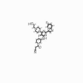 N#CCC(=O)N1CCC[C@@H](Nc2nc(-c3cnc4ccc(F)cn34)nc(N3CCN(CCO)CC3)c2F)C1